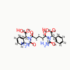 NC(=O)N(C(=O)CCCC(=O)N(C(N)=O)C(C(=O)O)c1ccccc1)C(C(=O)O)c1ccccc1